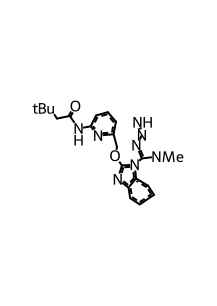 CN/C(=N\N=N)n1c(OCc2cccc(NC(=O)CC(C)(C)C)n2)nc2ccccc21